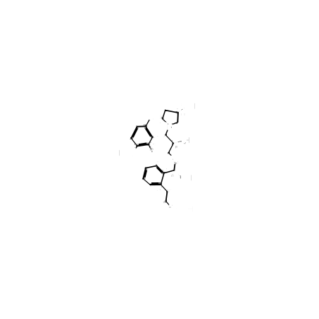 Cc1ccc(C[C@@H]2C[C@@H](C)CN2C[C@@H](O)CO[C@H](C)c2ccccc2CCC(=O)O)cc1F